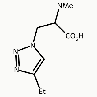 CCc1cn(CC(NC)C(=O)O)nn1